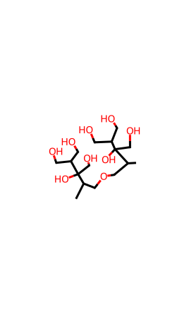 CC(COCC(C)C(O)(CO)C(CO)CO)C(O)(CO)C(CO)CO